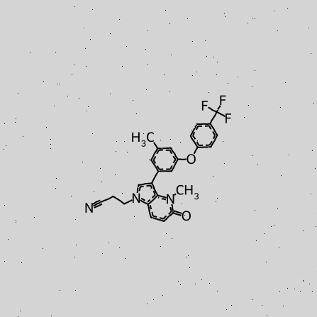 Cc1cc(Oc2ccc(C(F)(F)F)cc2)cc(-c2cn(CCC#N)c3ccc(=O)n(C)c23)c1